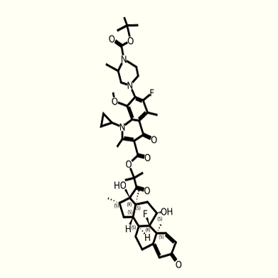 COc1c(N2CCN(C(=O)OC(C)(C)C)C(C)C2)c(F)c(C)c2c(=O)c(C(=O)OC(C)(C)C(=O)[C@@]3(O)[C@@H](C)C[C@H]4[C@@H]5CCC6=CC(=O)C=C[C@]6(C)[C@@]5(F)[C@@H](O)C[C@@]43C)c(C)n(C3CC3)c12